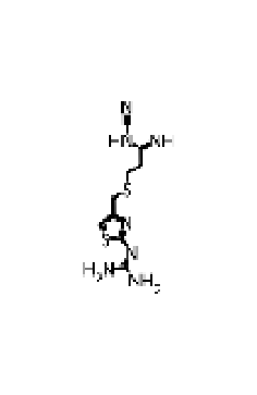 N#CNC(=N)CCSCc1csc(N=C(N)N)n1